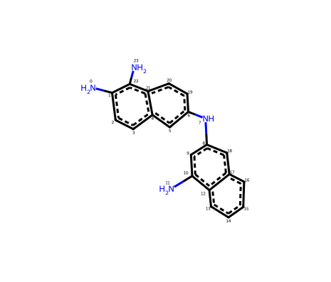 Nc1ccc2cc(Nc3cc(N)c4ccccc4c3)ccc2c1N